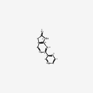 O=C1Cc2cnc(-c3cnccn3)nc2N1